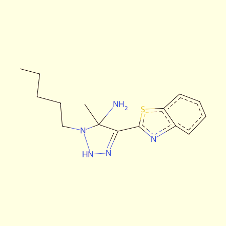 CCCCCN1NN=C(c2nc3ccccc3s2)C1(C)N